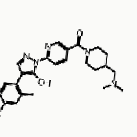 Cc1cc(C#N)ccc1-c1cnn(-c2ccc(C(=O)N3CCC(CN(C)C)CC3)cn2)c1O